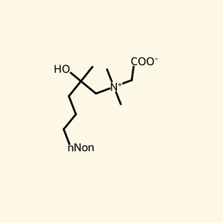 CCCCCCCCCCCCC(C)(O)C[N+](C)(C)CC(=O)[O-]